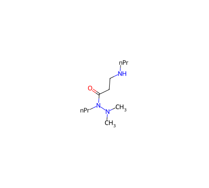 CCCNCCC(=O)N(CCC)N(C)C